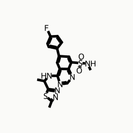 CNS(=O)(=O)c1cc(-c2ccc(F)cc2)cc2c(NC(C)c3nnc(C)s3)ncnc12